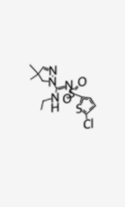 CCN/C(=N\S(=O)(=O)c1ccc(Cl)s1)N1CC(C)(C)C=N1